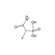 NC(=O)C(F)P(=O)(O)O